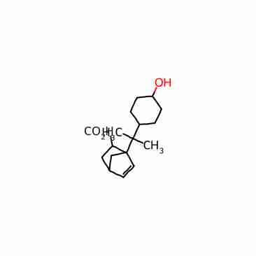 CC(C)(C1CCC(O)CC1)C12C=CC(CC1C(=O)O)C2